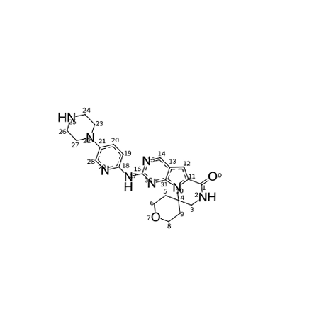 O=C1NCC2(CCOCC2)n2c1cc1cnc(Nc3ccc(N4CCNCC4)cn3)nc12